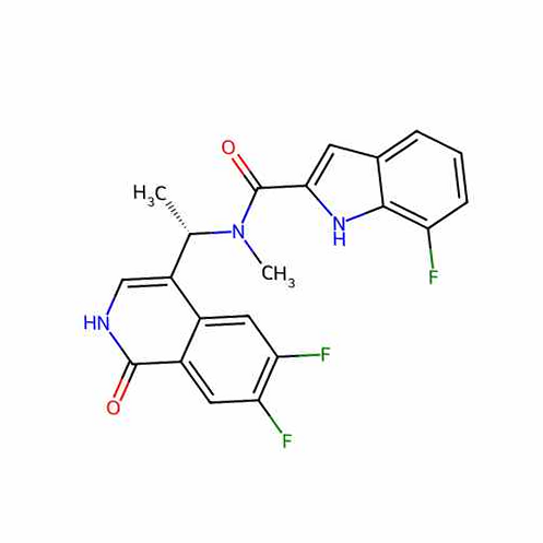 C[C@@H](c1c[nH]c(=O)c2cc(F)c(F)cc12)N(C)C(=O)c1cc2cccc(F)c2[nH]1